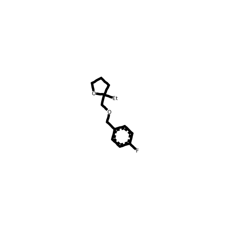 CCC1(COCc2ccc(F)cc2)CCCO1